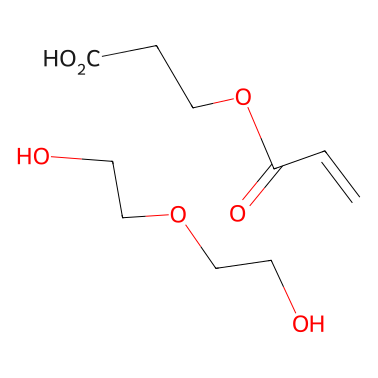 C=CC(=O)OCCC(=O)O.OCCOCCO